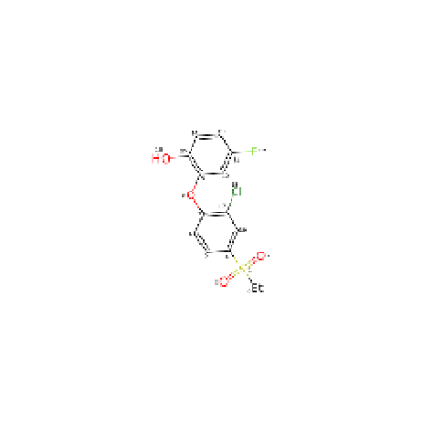 CCS(=O)(=O)c1ccc(Oc2cc(F)ccc2O)c(Cl)c1